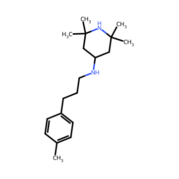 Cc1ccc(CCCNC2CC(C)(C)NC(C)(C)C2)cc1